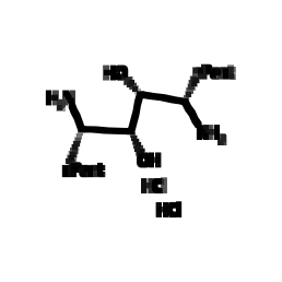 CCCCC[C@H](N)[C@@H](O)[C@H](O)[C@@H](N)CCCCC.Cl.Cl